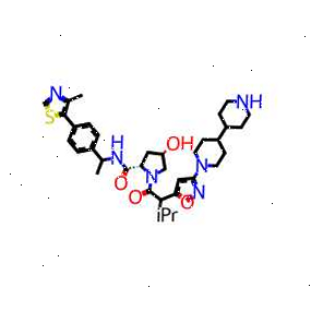 Cc1ncsc1-c1ccc(C(C)NC(=O)[C@@H]2C[C@@H](O)CN2C(=O)C(c2cc(N3CCC(C4CCNCC4)CC3)no2)C(C)C)cc1